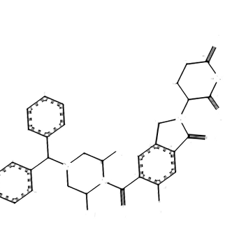 CC1CN(C(c2ccccc2)c2ccccc2)CC(C)N1C(=O)c1cc2c(cc1F)C(=O)N(C1CCC(=O)NC1=O)C2